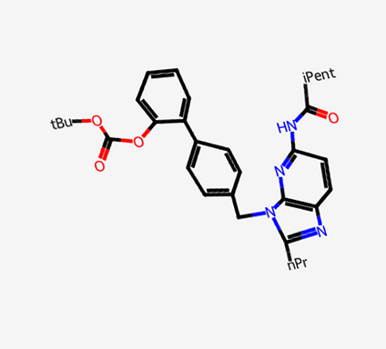 CCCc1nc2ccc(NC(=O)C(C)CCC)nc2n1Cc1ccc(-c2ccccc2OC(=O)OC(C)(C)C)cc1